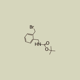 CC(C)(C)OC(=O)NCc1ccccc1CBr